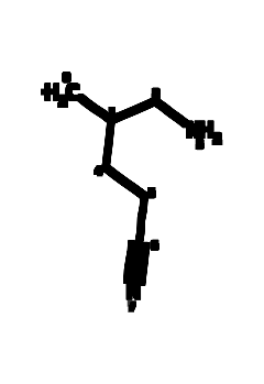 [CH2]C(CN)CCC#N